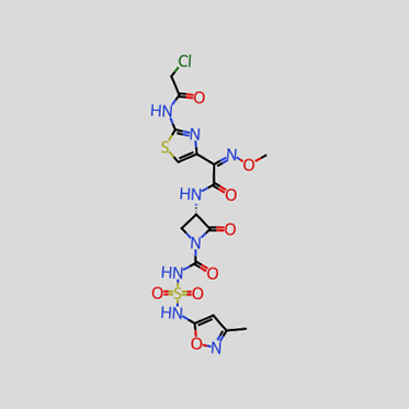 CO/N=C(\C(=O)N[C@H]1CN(C(=O)NS(=O)(=O)Nc2cc(C)no2)C1=O)c1csc(NC(=O)CCl)n1